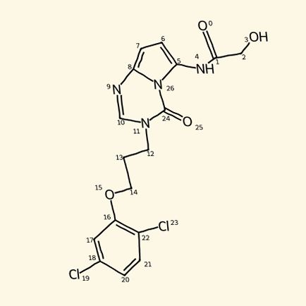 O=C(CO)Nc1ccc2ncn(CCCOc3cc(Cl)ccc3Cl)c(=O)n12